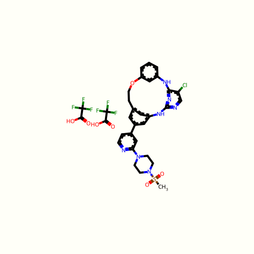 CS(=O)(=O)N1CCN(c2cc(-c3cc4cc(c3)Nc3ncc(Cl)c(n3)Nc3cccc(c3)OCC4)ccn2)CC1.O=C(O)C(F)(F)F.O=C(O)C(F)(F)F